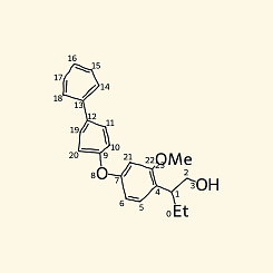 CCC(CO)c1ccc(Oc2ccc(-c3ccccc3)cc2)cc1OC